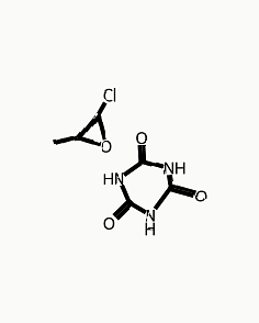 CC1OC1Cl.O=c1[nH]c(=O)[nH]c(=O)[nH]1